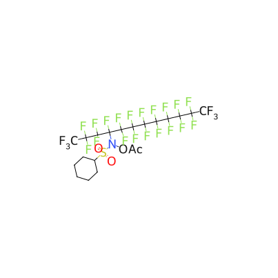 CC(=O)ON(C(F)(C(F)(F)C(F)(F)C(F)(F)F)C(F)(F)C(F)(F)C(F)(F)C(F)(F)C(F)(F)C(F)(F)C(F)(F)C(F)(F)F)S(=O)(=O)C1CCCCC1